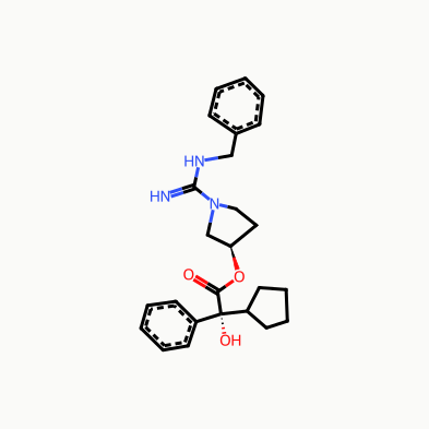 N=C(NCc1ccccc1)N1CC[C@@H](OC(=O)[C@](O)(c2ccccc2)C2CCCC2)C1